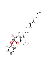 CCCCCCCCCCCCC(CCC)OC(Oc1ccccc1)C(=O)OC